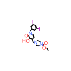 CCOC(=O)N1CCN(Cc2ccn(Cc3cc(I)cc(I)c3)c(=O)c2O)CC1